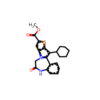 COC(=O)c1cc2c(s1)c(C1CCCCC1)c1n2CC(=O)Nc2ccccc2-1